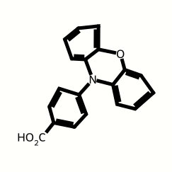 O=C(O)c1ccc(N2c3ccccc3Oc3ccccc32)cc1